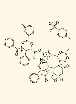 CC(=O)O[C@H]1C(=O)C2(C)C([C@H](OC(=O)c3ccccc3)[C@]3(O)C[C@H](OC(=O)C(OC(=O)c4ccc[n+](C)c4)C(NC(=O)c4ccccc4)c4ccccc4)C(C)=C1C3(C)C)[C@]1(OC(C)=O)CO[C@@H]1C[C@@H]2O.Cc1ccc(S(=O)(=O)[O-])cc1